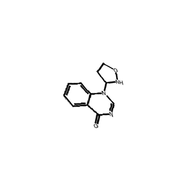 O=c1ncn(C2CCON2)c2ccccc12